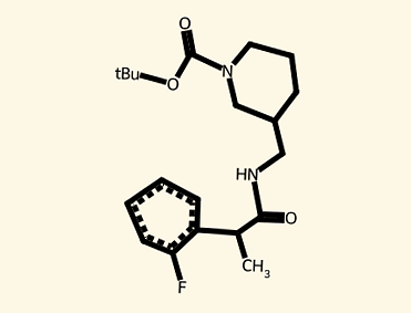 CC(C(=O)NCC1CCCN(C(=O)OC(C)(C)C)C1)c1ccccc1F